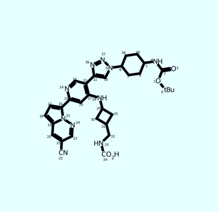 CC(C)(C)OC(=O)NC1CCC(n2cc(-c3cnc(-c4ccc5cc(C#N)cnn45)cc3NC3CC(CNC(=O)O)C3)nn2)CC1